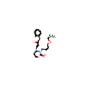 O=C(O)COC/C=C\CN1C(=O)OCC[C@@H]1/C=C/C(=O)Cc1ccccc1